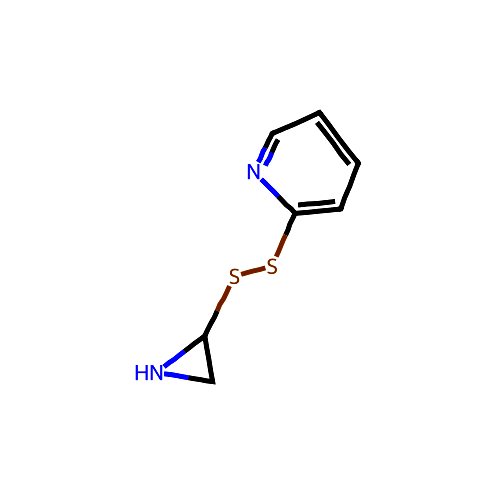 c1ccc(SSC2CN2)nc1